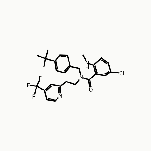 CNc1ccc(Cl)cc1C(=O)N(CCc1cc(C(F)(F)F)ccn1)Cc1ccc(C(C)(C)C)cc1